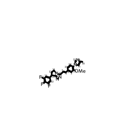 COc1cc(C=Cc2nnc3n2CCC3c2cc(F)c(F)c(F)c2)ccc1-n1cnc(C)c1